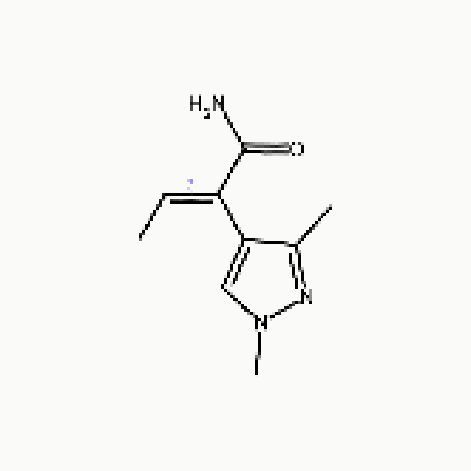 C/C=C(/C(N)=O)c1cn(C)nc1C